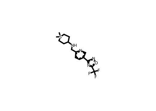 CS1(C)CCC(NCc2ccc(-c3noc(C(F)(F)F)n3)cn2)CC1